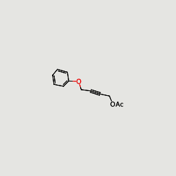 CC(=O)OCC#CCOc1ccccc1